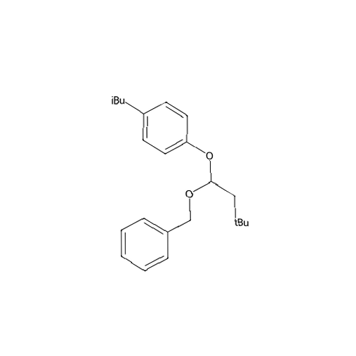 CCC(C)c1ccc(OC(CC(C)(C)C)OCc2ccccc2)cc1